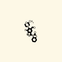 CC1CN(c2c(C=O)cc3c(N4C(=O)SC5CCCCC54)noc3c2F)CCO1